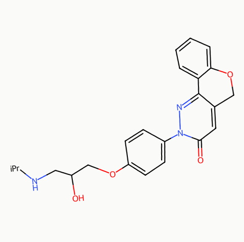 CC(C)NCC(O)COc1ccc(-n2nc3c(cc2=O)COc2ccccc2-3)cc1